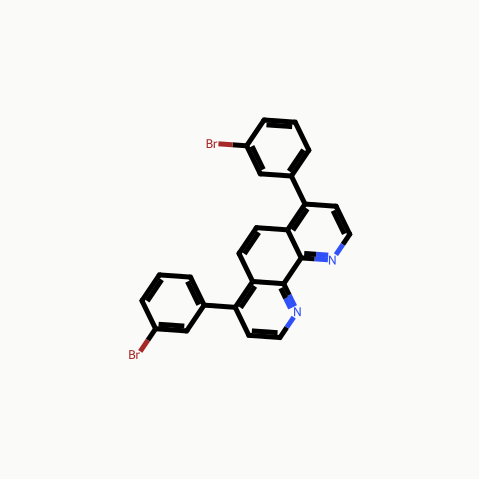 Brc1cccc(-c2ccnc3c2ccc2c(-c4cccc(Br)c4)ccnc23)c1